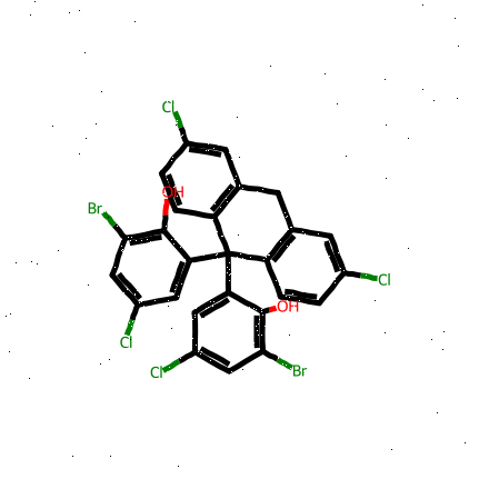 Oc1c(Br)cc(Cl)cc1C1(c2cc(Cl)cc(Br)c2O)c2ccc(Cl)cc2Cc2cc(Cl)ccc21